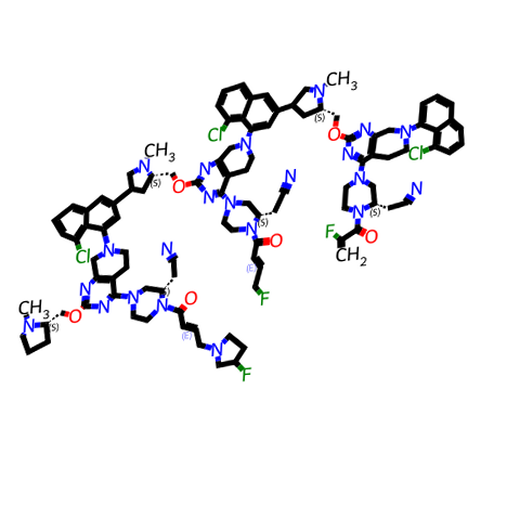 C=C(F)C(=O)N1CCN(c2nc(OC[C@@H]3CC(c4cc(N5CCc6c(nc(OC[C@@H]7CC(c8cc(N9CCc%10c(nc(OC[C@@H]%11CCCN%11C)nc%10N%10CCN(C(=O)/C=C/CN%11CCC(F)C%11)[C@@H](CC#N)C%10)C9)c9c(Cl)cccc9c8)CN7C)nc6N6CCN(C(=O)/C=C/CF)[C@@H](CC#N)C6)C5)c5c(Cl)cccc5c4)CN3C)nc3c2CCN(c2cccc4cccc(Cl)c24)C3)C[C@@H]1CC#N